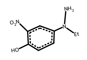 CCN(N)c1ccc(O)c([N+](=O)[O-])c1